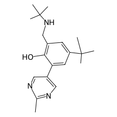 Cc1ncc(-c2cc(C(C)(C)C)cc(CNC(C)(C)C)c2O)cn1